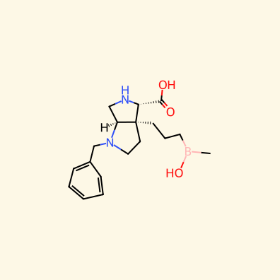 CB(O)CCC[C@]12CCN(Cc3ccccc3)[C@H]1CN[C@@H]2C(=O)O